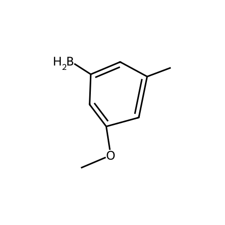 Bc1cc(C)cc(OC)c1